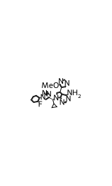 COc1ncncc1-c1cn([C@H](c2cn(-c3ccccc3F)nn2)C2CC2)c2ncnc(N)c12